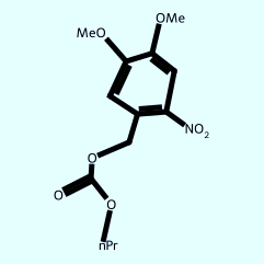 CCCOC(=O)OCc1cc(OC)c(OC)cc1[N+](=O)[O-]